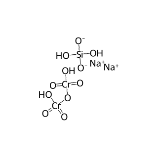 [Na+].[Na+].[O-][Si]([O-])(O)O.[O]=[Cr](=[O])([OH])[O][Cr](=[O])(=[O])[OH]